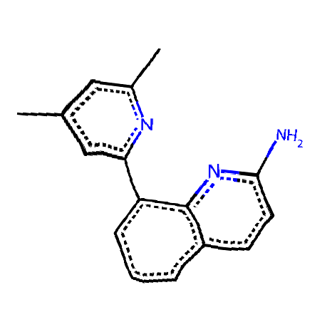 Cc1cc(C)nc(-c2cccc3ccc(N)nc23)c1